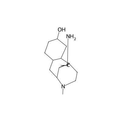 CN1CCC23CC(N)CCC2C1CC1CCC(O)CC13